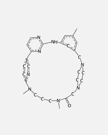 Cc1cc2cc(c1)Nc1nccc(n1)-c1ccc(nc1)N(C)CCCN(C)C(=O)CN1CCN(CC1)C2